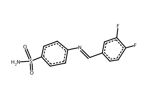 NS(=O)(=O)c1ccc(N=Cc2ccc(F)c(F)c2)cc1